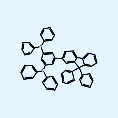 c1ccc(N(c2ccccc2)c2cc(-c3ccc4c(c3)C(c3ccccc3)(c3ccccc3)c3ccccc3-4)cc(N(c3ccccc3)c3ccccc3)c2)cc1